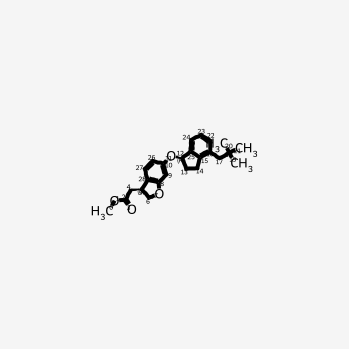 COC(=O)C[C@@H]1COc2cc(O[C@@H]3CCc4c(CC(C)(C)C)cccc43)ccc21